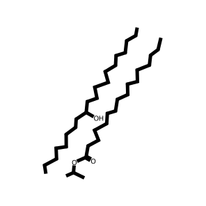 CCCCCCCCCCCC(O)CCCCCCCC.CCCCCCCCCCCCCCCC(=O)OC(C)C